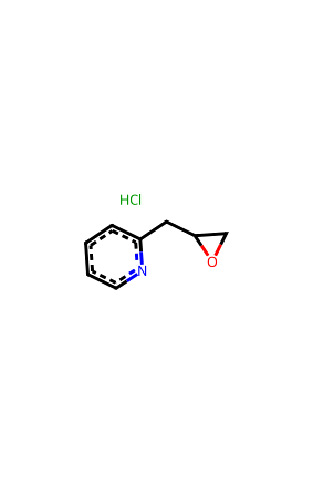 Cl.c1ccc(CC2CO2)nc1